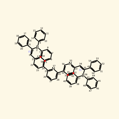 C(=C(/B(c1ccccc1)c1ccccc1)c1ccccc1)/c1ccc(-c2cccc(-c3ccc(/C=C(\B(c4ccccc4)c4ccccc4)c4ccccc4)nc3)n2)cn1